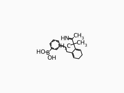 CC(=N)C(C)(C)C1=CCCC=C1CCc1cccc(B(O)O)c1